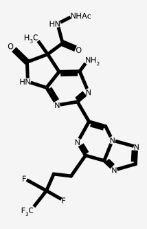 CC(=O)NNC(=O)C1(C)C(=O)Nc2nc(-c3cn4ncnc4c(CCC(F)(F)C(F)(F)F)n3)nc(N)c21